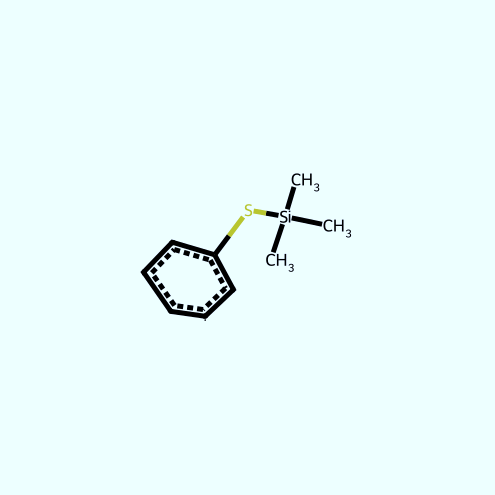 C[Si](C)(C)Sc1c[c]ccc1